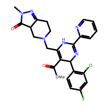 COC(=O)C1=C(CN2CCC3=NN(C)C(=O)C3C2)NC(c2ccccn2)=NC1c1ccc(F)cc1Cl